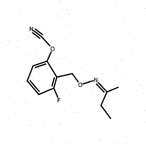 CCC(C)=NOCc1c(F)cccc1OC#N